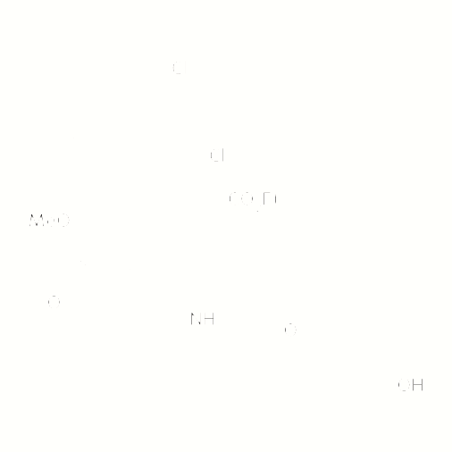 CCOC(=O)C1=C(COCCO)NC(C)=C(C(=O)OC)C1c1cccc(Cl)c1Cl